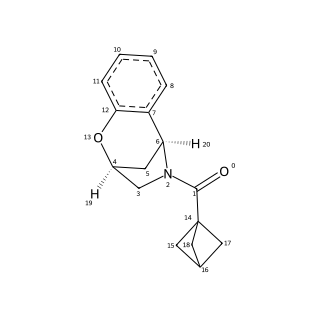 O=C(N1C[C@@H]2C[C@H]1c1ccccc1O2)C12CC(C1)C2